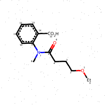 CCOCCCC(=O)N(C)c1ccccc1C(=O)O